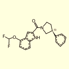 O=C(c1cc2c(OC(F)F)cccc2[nH]1)N1CC[C@@H](c2ccccc2)C1